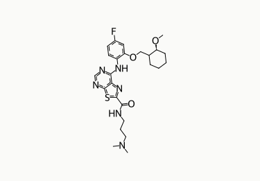 CO[C@H]1CCCCC1COc1cc(F)ccc1Nc1ncnc2sc(C(=O)NCCCN(C)C)nc12